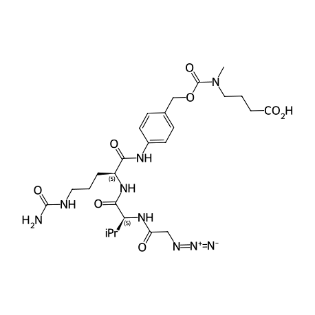 CC(C)[C@H](NC(=O)CN=[N+]=[N-])C(=O)N[C@@H](CCCNC(N)=O)C(=O)Nc1ccc(COC(=O)N(C)CCCC(=O)O)cc1